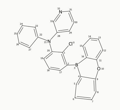 Clc1c(B2c3ccccc3Oc3ccccc32)cccc1N(c1ccccc1)c1cccnc1